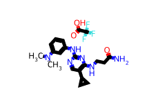 CN(C)c1cccc(Nc2ncc(C3CC3)c(NCCC(N)=O)n2)c1.O=C(O)C(F)(F)F